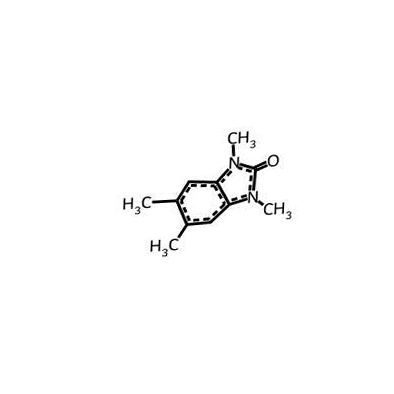 Cc1cc2c(cc1C)n(C)c(=O)n2C